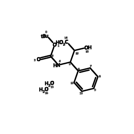 CC(C)(C)OC(=O)NC(c1ccccc1)C(O)C(=O)O.O.O